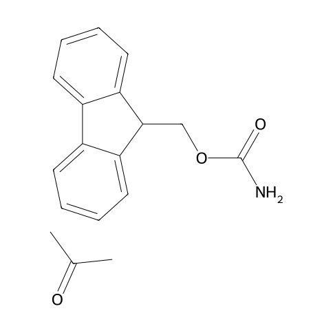 CC(C)=O.NC(=O)OCC1c2ccccc2-c2ccccc21